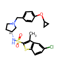 Cc1c(S(=O)(=O)N[C@@H]2CCN(Cc3ccc(OC4CC4)cc3)C2)sc2ccc(Cl)cc12